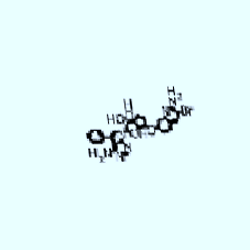 Nc1nc2cc(O[C@H]3CC[C@]4(O)C(O)[C@H](n5cc(-c6ccccc6)c6c(N)ncnc65)O[C@H]34)ccc2cc1Br